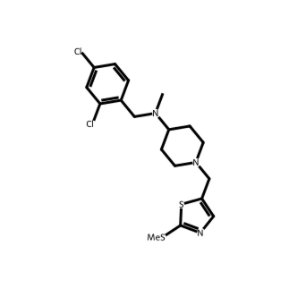 CSc1ncc(CN2CCC(N(C)Cc3ccc(Cl)cc3Cl)CC2)s1